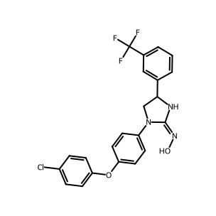 ON=C1NC(c2cccc(C(F)(F)F)c2)CN1c1ccc(Oc2ccc(Cl)cc2)cc1